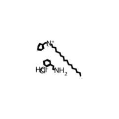 CCCCCCCCCCCCCCCC[N+](C)(C)Cc1ccccc1.Cl.NCCc1ccccc1.[Cl-]